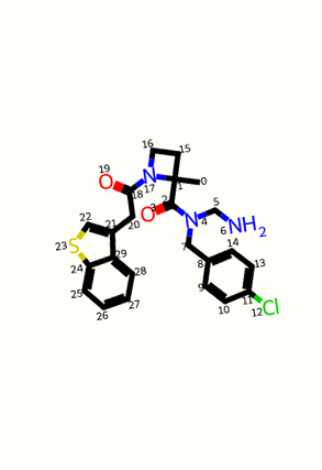 CC1(C(=O)N(CN)Cc2ccc(Cl)cc2)CCN1C(=O)Cc1csc2ccccc12